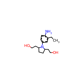 CCc1cc(N2C(CCO)CCC2CCO)ccc1N